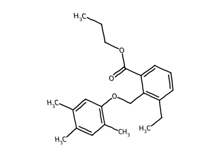 CCCOC(=O)c1cccc(CC)c1COc1cc(C)c(C)cc1C